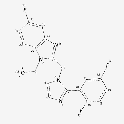 CCn1c(Cn2ccnc2-c2cc(F)ccc2F)nc2cc(F)ccc21